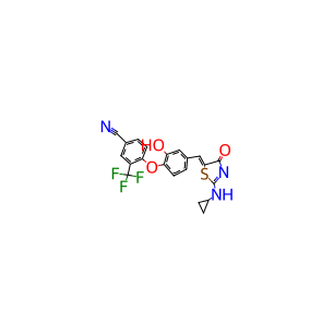 N#Cc1ccc(Oc2ccc(/C=C3\SC(NC4CC4)=NC3=O)cc2O)c(C(F)(F)F)c1